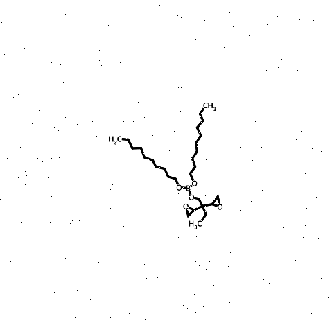 CCCCCCCCCCOB(OCCCCCCCCCC)OCC(CC)(C1CO1)C1CO1